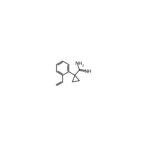 C=Cc1ccccc1C1(C(=N)N)CC1